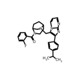 CC(C)c1ccc(-c2nc3ncccn3c2CN2CC3CCC2CCN3C(=O)c2ccccc2F)cc1